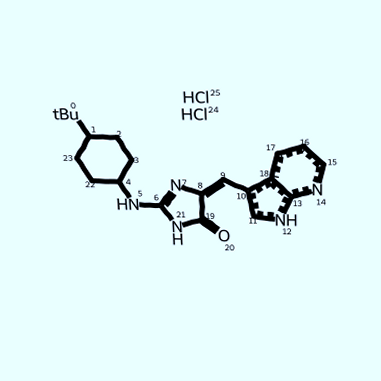 CC(C)(C)C1CCC(NC2=NC(=Cc3c[nH]c4ncccc34)C(=O)N2)CC1.Cl.Cl